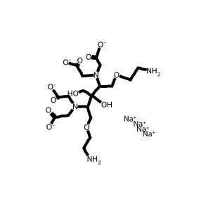 NCCOCC(N(CC(=O)[O-])CC(=O)[O-])C(O)(CO)C(COCCN)N(CC(=O)[O-])CC(=O)[O-].[Na+].[Na+].[Na+].[Na+]